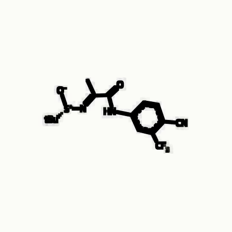 CC(=N[S@@+]([O-])C(C)(C)C)C(=O)Nc1ccc(C#N)c(C(F)(F)F)c1